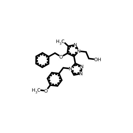 COc1ccc(Cn2cnnc2-c2c(OCc3ccccc3)c(C)nn2CCO)cc1